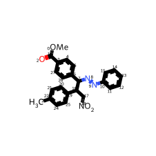 COC(=O)c1ccc(C(N=Nc2ccccc2)C(C[N+](=O)[O-])c2ccc(C)cc2)cc1